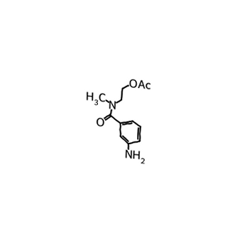 CC(=O)OCCN(C)C(=O)c1cccc(N)c1